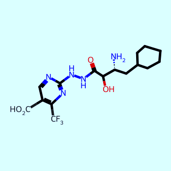 N[C@H](CC1CCCCC1)C(O)C(=O)NNc1ncc(C(=O)O)c(C(F)(F)F)n1